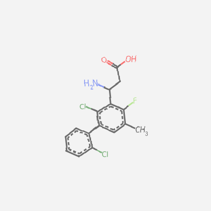 Cc1cc(-c2ccccc2Cl)c(Cl)c(C(N)CC(=O)O)c1F